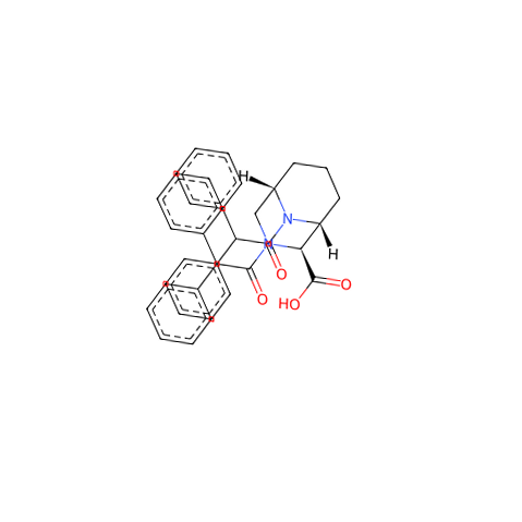 O=C(O)[C@@H]1[C@H]2CCC[C@@H](CN1C(=O)C(c1ccccc1)c1ccccc1)N2C(=O)C(c1ccccc1)c1ccccc1